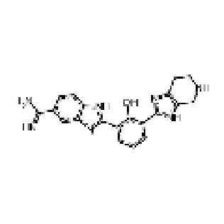 N=C(N)c1ccc2[nH]c(-c3cccc(-c4nc5c([nH]4)CNCC5)c3O)nc2c1